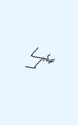 CC/C=C\CC1C(CC(=O)OC(CCCCCCCCC2CC2CCCCCCCC)CCCCCCCCC2CC2CCCCCCCC)CCC1OC(=O)C1(C)CCN(C)CC1